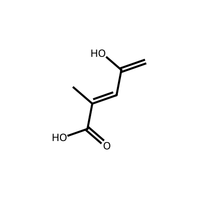 C=C(O)/C=C(\C)C(=O)O